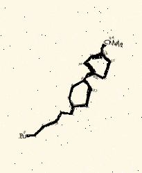 CCC(C)CCCCCC1CCC(c2ccc(OC)cc2)CC1